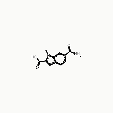 Cn1c(C(=O)O)cc2ccc(C(N)=O)cc21